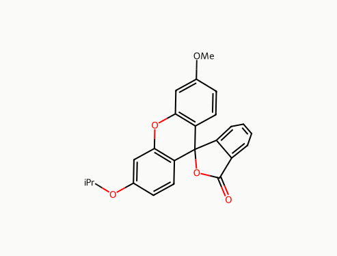 COc1ccc2c(c1)Oc1cc(OC(C)C)ccc1C21OC(=O)c2ccccc21